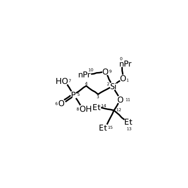 CCCO[Si](CCP(=O)(O)O)(OCCC)OC(CC)(CC)CC